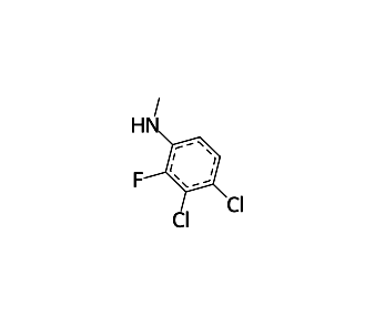 CNc1ccc(Cl)c(Cl)c1F